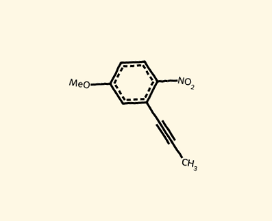 CC#Cc1cc(OC)ccc1[N+](=O)[O-]